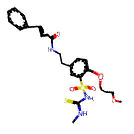 CNC(=S)NS(=O)(=O)c1cc(CCNC(=O)C=Cc2ccccc2)ccc1OCCOC